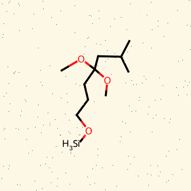 COC(CCCO[SiH3])(CC(C)C)OC